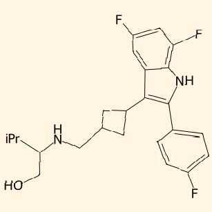 CC(C)C(CO)NCC1CC(c2c(-c3ccc(F)cc3)[nH]c3c(F)cc(F)cc23)C1